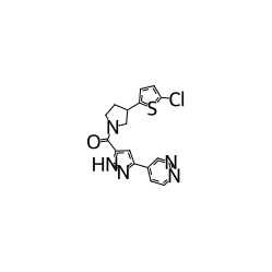 O=C(c1cc(-c2ccnnc2)n[nH]1)N1CCC(c2ccc(Cl)s2)C1